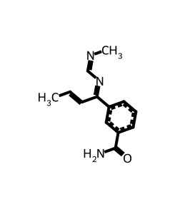 C/C=C/C(=N\C=N/C)c1cccc(C(N)=O)c1